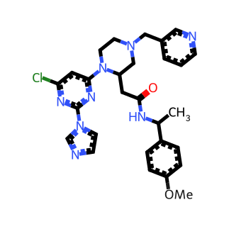 COc1ccc(C(C)NC(=O)CC2CN(Cc3cccnc3)CCN2c2cc(Cl)nc(-n3ccnc3)n2)cc1